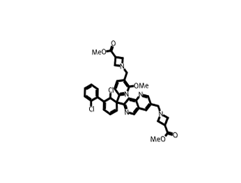 COC(=O)C1CN(Cc2cnc3cc(C4(c5ccc(CN6CC(C(=O)OC)C6)c(OC)n5)C=CC=C(c5ccccc5Cl)C4Cl)ncc3c2)C1